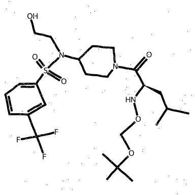 CC(C)C[C@@H](NOCOC(C)(C)C)C(=O)N1CCC(N(CCO)S(=O)(=O)c2cccc(C(F)(F)F)c2)CC1